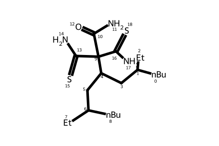 CCCCC(CC)CC(CC(CC)CCCC)C(C(N)=O)(C(N)=S)C(N)=S